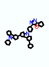 c1ccc(-c2ccc3c(c2)c2cc(-c4ccc5c(c4)c4ccccc4n5-c4ccccc4)ccc2n3-c2ccc(-c3ncnc4c3oc3ccccc34)cc2)cc1